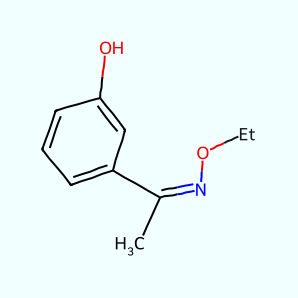 CCO/N=C(/C)c1cccc(O)c1